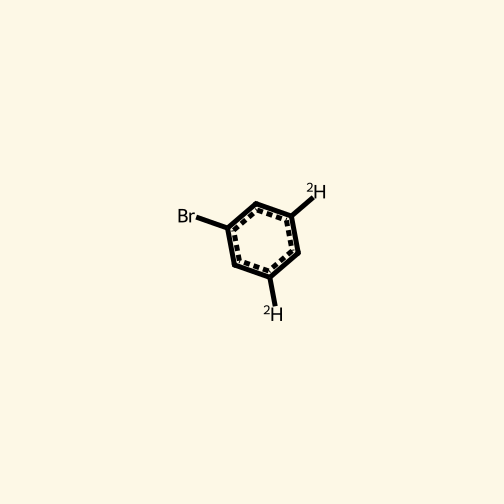 [2H]c1cc([2H])cc(Br)c1